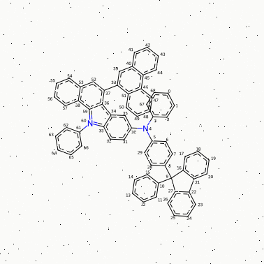 c1ccc(N(c2ccc(C3(c4ccccc4)c4ccccc4-c4ccccc43)cc2)c2ccc3c(c2)c2c(-c4cc5ccccc5c5ccccc45)cc4ccccc4c2n3-c2ccccc2)cc1